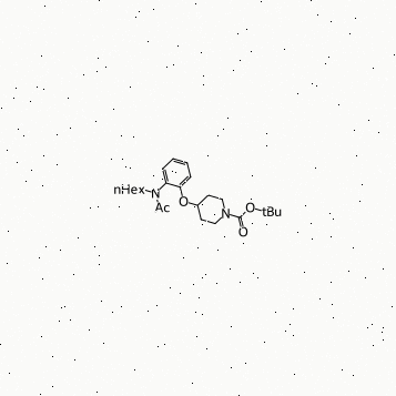 CCCCCCN(C(C)=O)c1ccccc1OC1CCN(C(=O)OC(C)(C)C)CC1